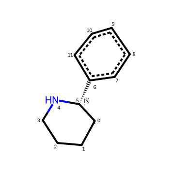 [CH]1CCCN[C@@H]1c1ccccc1